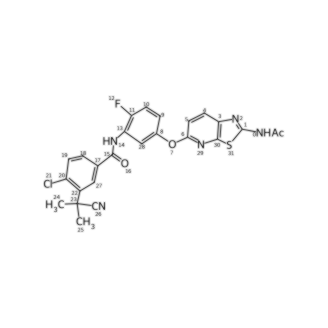 CC(=O)Nc1nc2ccc(Oc3ccc(F)c(NC(=O)c4ccc(Cl)c(C(C)(C)C#N)c4)c3)nc2s1